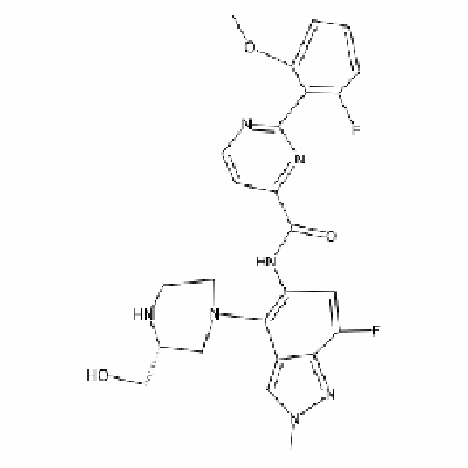 COc1cccc(F)c1-c1nccc(C(=O)Nc2cc(F)c3nn(C)cc3c2N2CCN[C@@H](CO)C2)n1